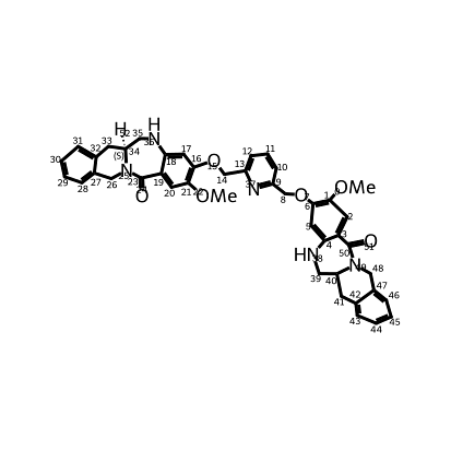 COc1cc2c(cc1OCc1cccc(COc3cc4c(cc3OC)C(=O)N3Cc5ccccc5C[C@H]3CN4)n1)NCC1Cc3ccccc3CN1C2=O